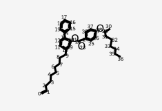 C=CCCCCCCCCc1ccc(-c2ccccc2)c(OC(=O)c2ccc(OC(C)CCCCCC)cc2)c1